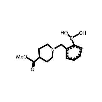 COC(=O)C1CCN(Cc2ccccc2B(O)O)CC1